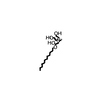 CCCCCCCCCCCCOC(O)C[N+](C)(CCO)CCO